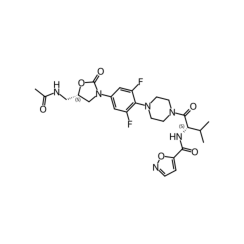 CC(=O)NC[C@H]1CN(c2cc(F)c(N3CCN(C(=O)[C@@H](NC(=O)c4ccno4)C(C)C)CC3)c(F)c2)C(=O)O1